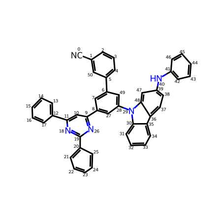 N#Cc1cccc(-c2cc(-c3cc(-c4ccccc4)nc(-c4ccccc4)n3)cc(-n3c4ccccc4c4ccc(Nc5ccccc5)cc43)c2)c1